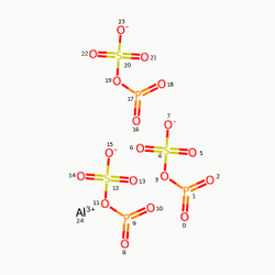 O=P(=O)OS(=O)(=O)[O-].O=P(=O)OS(=O)(=O)[O-].O=P(=O)OS(=O)(=O)[O-].[Al+3]